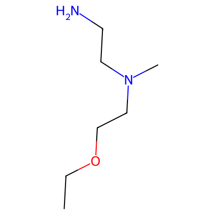 CCOCCN(C)CCN